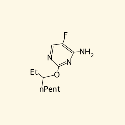 CCCCCC(CC)Oc1ncc(F)c(N)n1